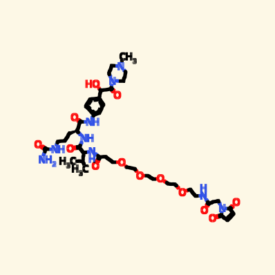 CC(C)C(NC(=O)CCOCCOCCOCCOCCNC(=O)CN1C(=O)C=CC1=O)C(=O)N[C@@H](CCCNC(N)=O)C(=O)Nc1ccc(C(O)C(=O)N2CCN(C)CC2)cc1